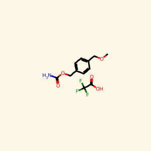 COCc1ccc(COC(N)=O)cc1.O=C(O)C(F)(F)F